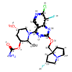 CC(C)(C)C1[C@@H](OC(N)=O)C[C@H](O)CN1c1nc(OC[C@@]23CCCN2C[C@H](F)C3)nc2c(F)c(Cl)ncc12